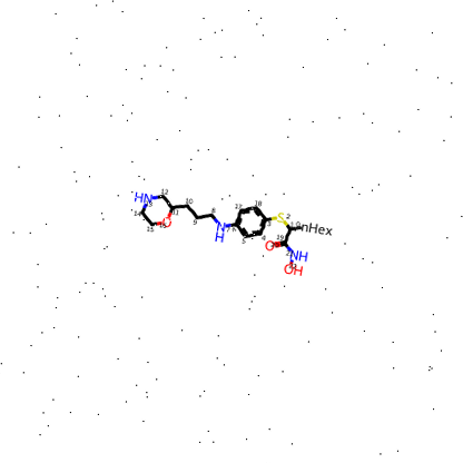 CCCCCCC(Sc1ccc(NCCCC2CNCCO2)cc1)C(=O)NO